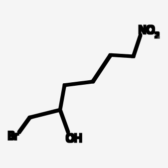 O=[N+]([O-])CCCCC(O)CBr